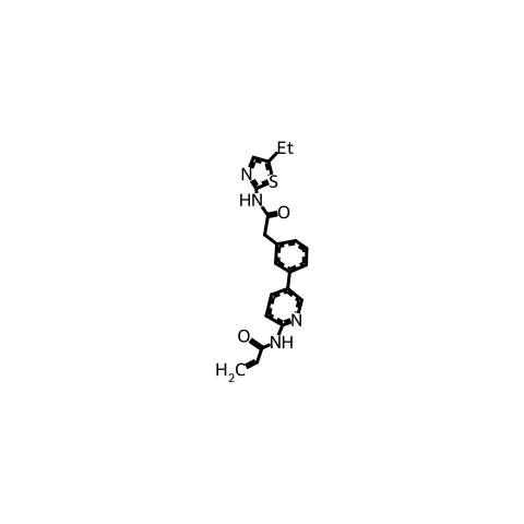 C=CC(=O)Nc1ccc(-c2cccc(CC(=O)Nc3ncc(CC)s3)c2)cn1